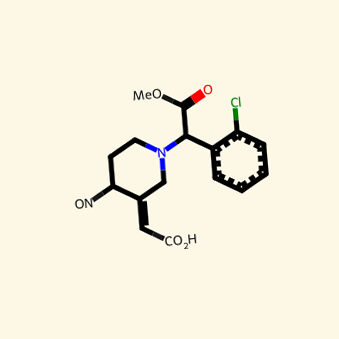 COC(=O)C(c1ccccc1Cl)N1CCC(N=O)/C(=C/C(=O)O)C1